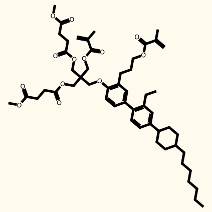 C=C(C)C(=O)OCCCc1cc(-c2ccc(C3CCC(CCCCCCC)CC3)cc2CC)ccc1OCC(COC(=O)CCC(=O)OC)(COC(=O)CCC(=O)OC)COC(=O)C(=C)C